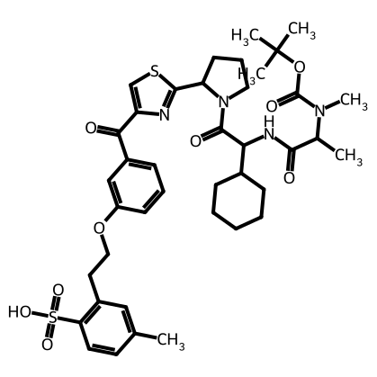 Cc1ccc(S(=O)(=O)O)c(CCOc2cccc(C(=O)c3csc(C4CCCN4C(=O)C(NC(=O)C(C)N(C)C(=O)OC(C)(C)C)C4CCCCC4)n3)c2)c1